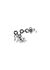 O=S(=O)(N1CC=C(c2cccc(C3CC(C(O)(C(F)(F)F)C(F)(F)F)=NN3c3ccccc3Cl)c2)CC1)C(F)(F)F